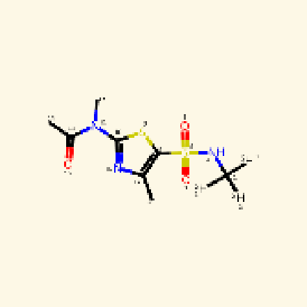 [2H]C([2H])([2H])NS(=O)(=O)c1sc(N(C)C(C)=O)nc1C